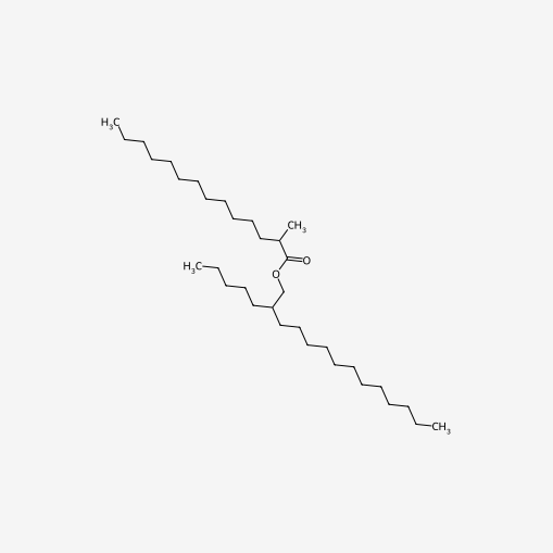 CCCCCCCCCCCCC(CCCCC)COC(=O)C(C)CCCCCCCCCCCC